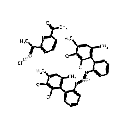 CC(=O)c1cccc(C(C)=O)n1.Cc1cc(C)c(-c2ccccc2[N]=[Fe+2]=[N]c2ccccc2-c2c(C)cc(C)c(Cl)c2Cl)c(Cl)c1Cl.[Cl-].[Cl-]